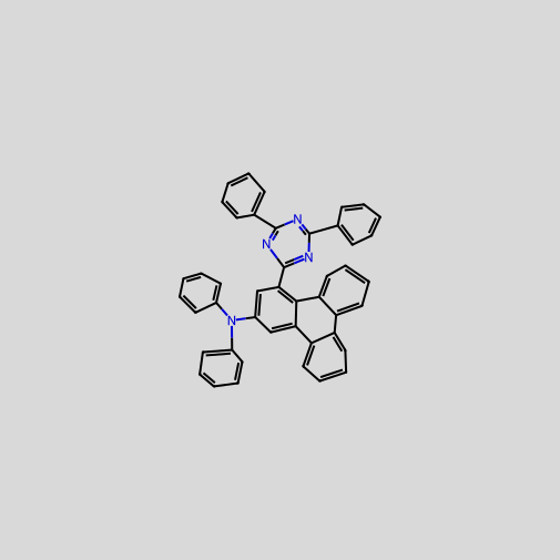 c1ccc(-c2nc(-c3ccccc3)nc(-c3cc(N(c4ccccc4)c4ccccc4)cc4c5ccccc5c5ccccc5c34)n2)cc1